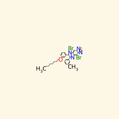 CCCCCCCCOc1cccc(-c2nc3c(Br)c4nsnc4c(Br)c3nc2-c2cccc(C)c2)c1